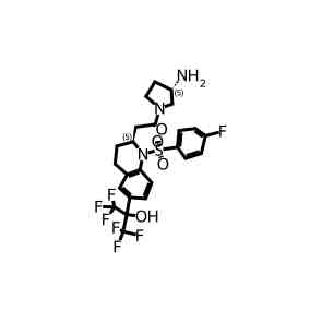 N[C@H]1CCN(C(=O)C[C@@H]2CCc3cc(C(O)(C(F)(F)F)C(F)(F)F)ccc3N2S(=O)(=O)c2ccc(F)cc2)C1